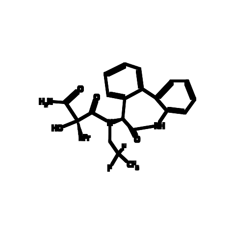 CCC[C@](O)(C(N)=O)C(=O)N(CC(F)(F)C(F)(F)F)[C@@H]1C(=O)Nc2ccccc2-c2ccccc21